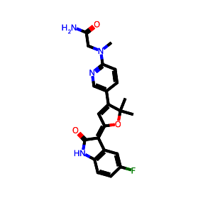 CN(CC(N)=O)c1ccc(C2=C/C(=C3\C(=O)Nc4ccc(F)cc43)OC2(C)C)cn1